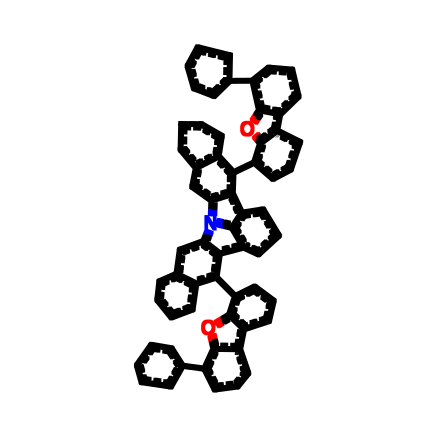 c1ccc(-c2cccc3c2oc2c(-c4c5ccccc5cc5c4c4cccc6c7c(-c8cccc9c8oc8c(-c%10ccccc%10)cccc89)c8ccccc8cc7n5c46)cccc23)cc1